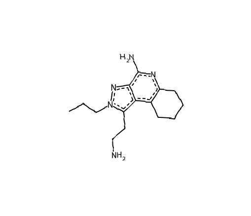 CCCn1nc2c(N)nc3c(c2c1CCN)CCCC3